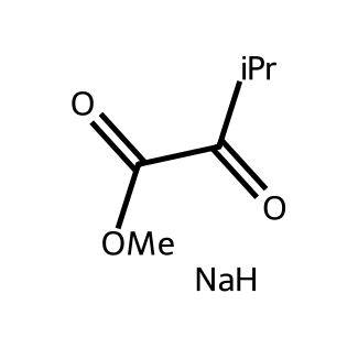 COC(=O)C(=O)C(C)C.[NaH]